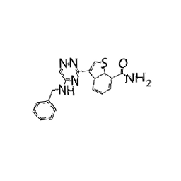 NC(=O)C1=CC=CC2C(c3nncc(NCc4ccccc4)n3)=CSC12